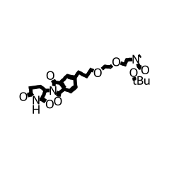 CN(CCOCCOCCCc1ccc2c(c1)C(=O)N(C1CCC(=O)NC1=O)C2=O)C(=O)OC(C)(C)C